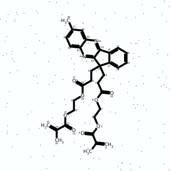 C=C(C)C(=O)OCCOC(=O)CCC1(CCC(=O)OCCOC(=O)C(=C)C)c2ccccc2-c2nc3cc(C)ccc3nc21